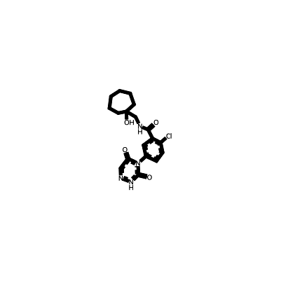 O=C(NCC1(O)CCCCCC1)c1cc(-n2c(=O)cn[nH]c2=O)ccc1Cl